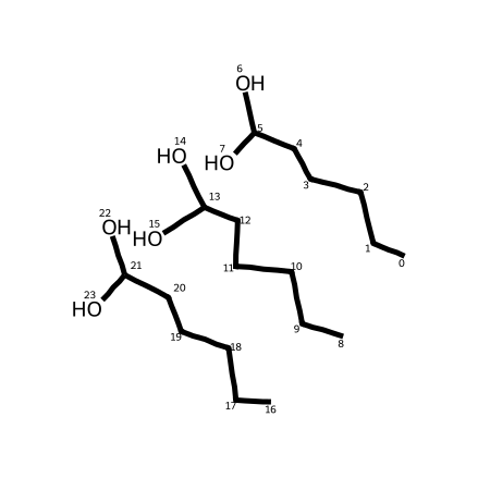 CCCCCC(O)O.CCCCCC(O)O.CCCCCC(O)O